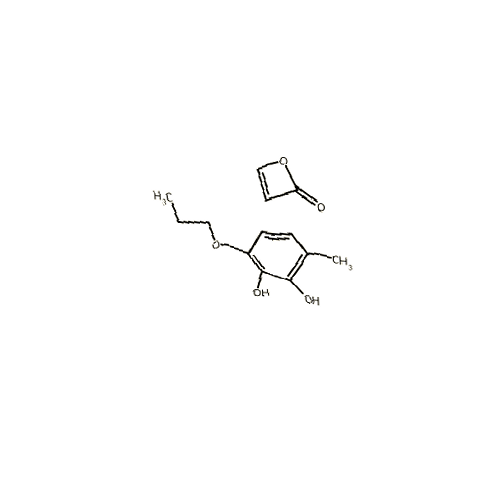 CCCOc1ccc(C)c(O)c1O.O=C1C=CO1